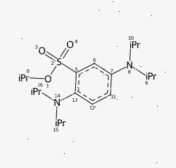 CC(C)OS(=O)(=O)c1cc(N(C(C)C)C(C)C)ccc1N(C(C)C)C(C)C